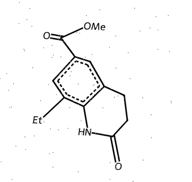 CCc1cc(C(=O)OC)cc2c1NC(=O)CC2